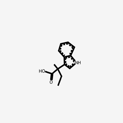 CCC(C)(C(=O)O)c1c[nH]c2ccccc12